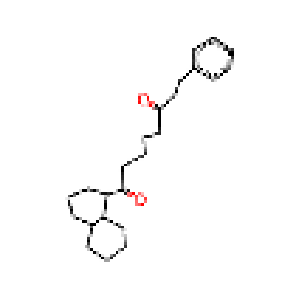 O=C(CCCCC(=O)C1CCCC2CCCCC21)CCc1ccccc1